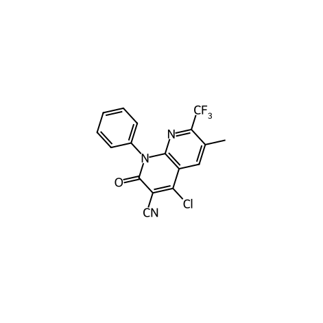 Cc1cc2c(Cl)c(C#N)c(=O)n(-c3ccccc3)c2nc1C(F)(F)F